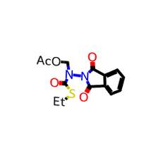 CCSC(=O)N(COC(C)=O)N1C(=O)c2ccccc2C1=O